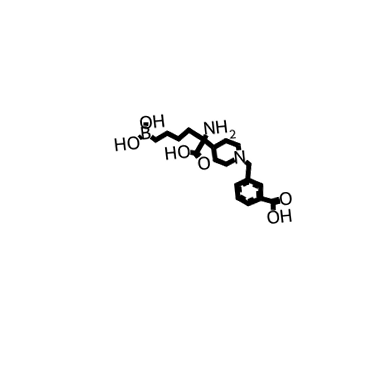 NC(CCCCB(O)O)(C(=O)O)C1CCN(Cc2cccc(C(=O)O)c2)CC1